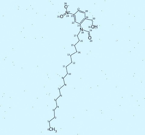 CCCCCCCCCCCCCCCCCCN(C=O)c1cc([N+](=O)[O-])ccc1CO